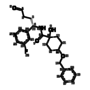 O=CCC[C@H](NC(=O)C1(O)CCC(OCc2ccccc2)CC1)c1cncc(F)c1